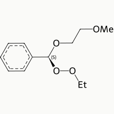 CCOO[C@H](OCCOC)c1ccccc1